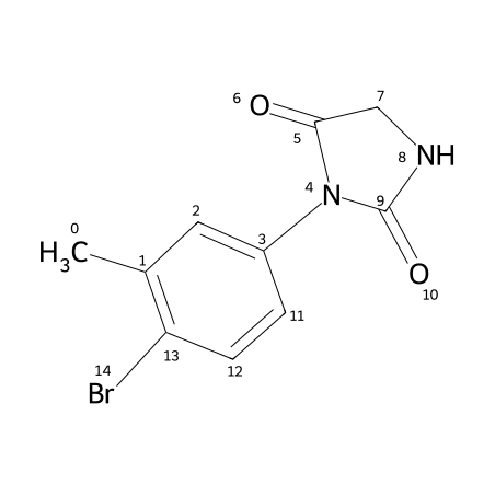 Cc1cc(N2C(=O)CNC2=O)ccc1Br